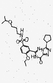 CCOc1ccc(S(=O)(=O)NCCCOC(C)C)cc1-c1nn2c(C3CCCC3)nnc2c(=O)[nH]1